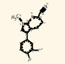 Cn1cc(-c2ccc(Cl)c(F)c2)c2ccc(C#N)nc21